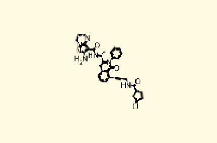 C[C@H](NC(=O)c1c(N)nn2cccnc12)c1cc2cccc(C#CCNC(=O)C3CCC(=O)C3)c2c(=O)n1-c1ccccc1